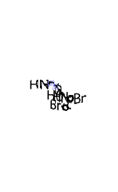 C/C(=C\C=C/C=N)OCC(O)CNc1ccc(Br)cc1-c1cc(Br)ccc1C